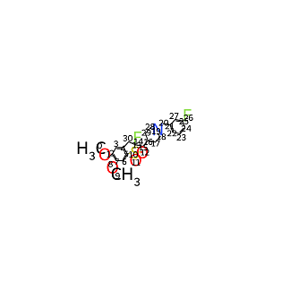 COc1cc2c(cc1OC)S(=O)(=O)C(F)(CC1CCN(Cc3cccc(F)c3)CC1)C2